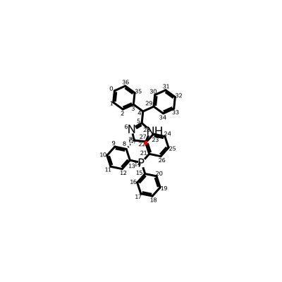 c1ccc(C(C2=N[C@@H](c3ccccc3P(c3ccccc3)c3ccccc3)CN2)c2ccccc2)cc1